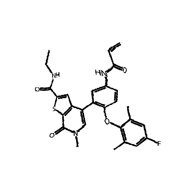 C=CC(=O)Nc1ccc(Oc2c(C)cc(F)cc2C)c(-c2cn(C)c(=O)c3sc(C(=O)NCC)cc23)c1